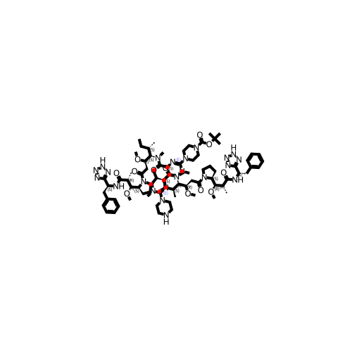 CC[C@H](C)[C@@H]([C@@H](CC(=O)N1CCC[C@H]1[C@H](OC)[C@@H](C)C(=O)N[C@@H](Cc1ccccc1)c1nn[nH]n1)OC)N(C)C(=O)[C@@H](/N=C(\N(C)C)N1CCN(C(=O)OC(C)(C)C)CC1)C(C)CC(C)[C@H](C)[C@@H]([C@@H](CC(=O)N1CCC[C@H]1[C@H](OC)[C@@H](C)C(=O)N[C@@H](Cc1ccccc1)c1nn[nH]n1)OC)N(C)C(=O)[C@@H](/N=C(\N(C)C)N1CCNCC1)C(C)C